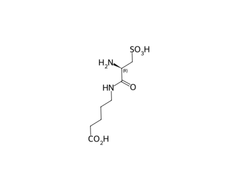 N[C@@H](CS(=O)(=O)O)C(=O)NCCCCC(=O)O